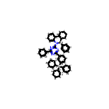 c1ccc(B2c3ccccc3-c3ccccc3N2c2nc(-c3ccccc3)nc(-c3cccc([Si](c4ccccc4)(c4ccccc4)c4ccccc4)c3)n2)cc1